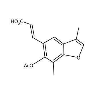 CC(=O)Oc1c(/C=C/C(=O)O)cc2c(C)coc2c1C